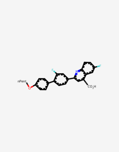 CCCCCOc1ccc(-c2ccc(-c3cc(C(=O)O)c4cc(F)ccc4n3)cc2F)cc1